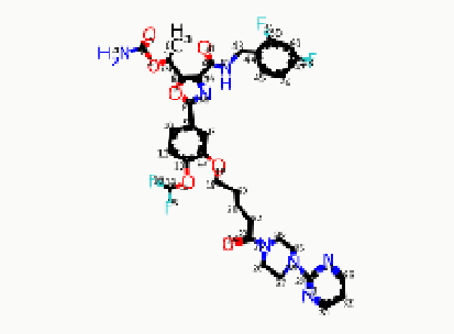 C[C@H](OC(N)=O)c1oc(-c2ccc(OC(F)F)c(OCCCCC(=O)N3CCN(c4ncccn4)CC3)c2)nc1C(=O)NCc1ccc(F)cc1F